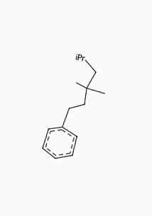 CC(C)CC(C)(C)CCc1ccccc1